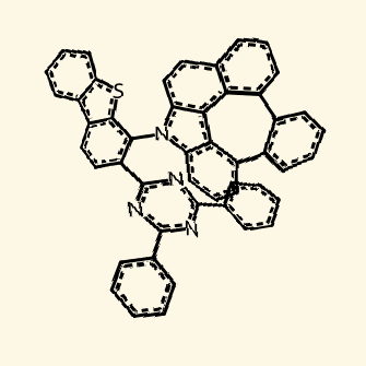 c1ccc(-c2nc(-c3ccccc3)nc(-c3ccc4c(sc5ccccc54)c3-n3c4cccc5c4c4c6c(cccc6ccc43)-c3ccccc3-5)n2)cc1